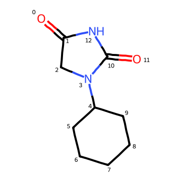 O=C1CN(C2CCCCC2)C(=O)N1